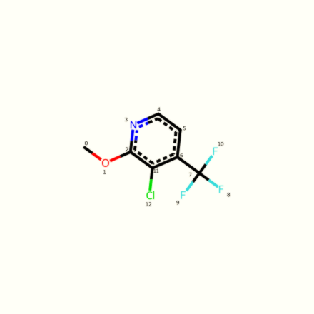 COc1nccc(C(F)(F)F)c1Cl